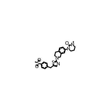 CN1CCCN(c2ccc3c(c2)CN(c2ncc(Cc4ccc(S(C)(=O)=O)cc4)s2)CC3)C1=O